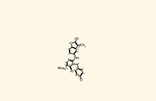 CCc1oc2ccc(Nc3ncc(NC(C)=O)c(=O)n3Cc3ccc(Cl)cc3)cc2c1C